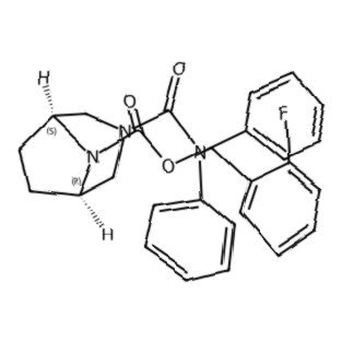 O=C(N1C[C@H]2CC[C@@H](C1)N2C(=O)OCc1ccccc1F)N(c1ccccc1)c1ccccc1